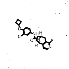 O=C(Nc1ccc(OC2CCC2)c(Cl)c1)N1[C@H]2CC[C@@H]1c1ccnc(F)c1C2